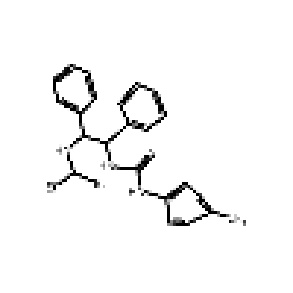 CCC(CC)NC(c1ccccc1)C(NC(=S)Nc1ccc(C(F)(F)F)cc1)c1ccccc1